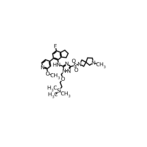 COc1cc(-c2cc(F)c3c(c2Nc2nc(S(=O)(=O)N4CC5(CCN(C)C5)C4)nn2COCC[Si](C)(C)C)CCC3)ccn1